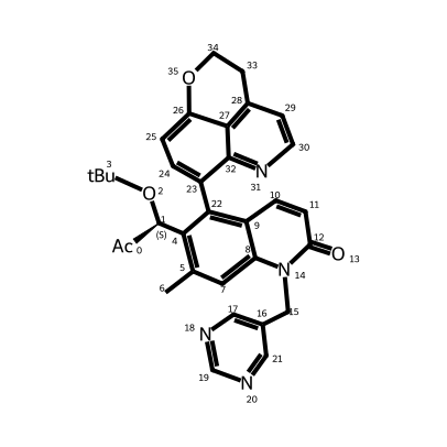 CC(=O)[C@@H](OC(C)(C)C)c1c(C)cc2c(ccc(=O)n2Cc2cncnc2)c1-c1ccc2c3c(ccnc13)CCO2